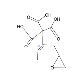 C/C=C(\CC1CO1)C(C(=O)O)(C(=O)O)C(=O)O